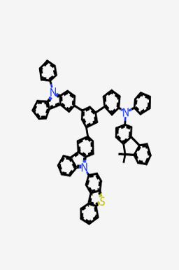 CC1(C)c2ccccc2-c2cc(N(c3ccccc3)c3cccc(-c4cc(-c5ccc6c(c5)c5ccccc5n6-c5ccccc5)cc(-c5ccc6c(c5)c5ccccc5n6-c5ccc6sc7ccccc7c6c5)c4)c3)ccc21